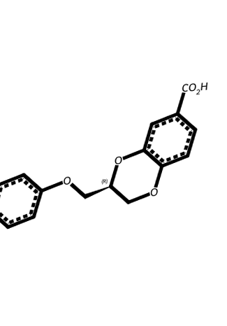 O=C(O)c1ccc2c(c1)O[C@H](COc1ccccc1)CO2